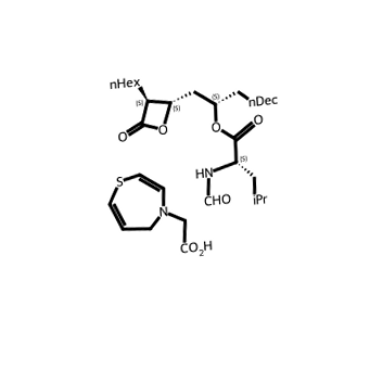 CCCCCCCCCCC[C@@H](C[C@@H]1OC(=O)[C@H]1CCCCCC)OC(=O)[C@H](CC(C)C)NC=O.O=C(O)CN1C=CSC=CC1